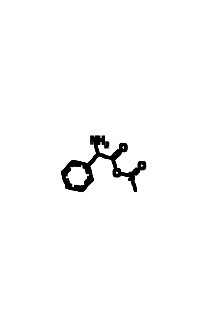 CS(=O)OC(=O)C(N)c1ccccc1